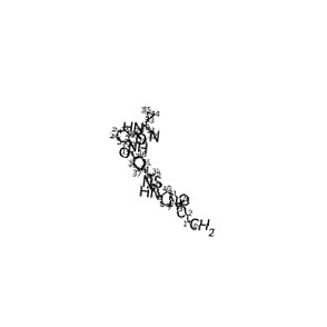 C=CCOC(=O)N1CCC(Nc2nc(-c3ccc(C(=O)N[C@H]4CCCC[C@H]4C(=O)NC(C#N)C4CC4)cc3)cs2)CC1